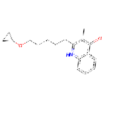 Cc1c(CCCCCOC2CC2)[nH]c2ccccc2c1=O